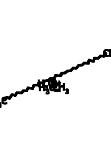 CCCCCCCCCCCCCCCCC=CCC(C=CCCCCCCCCCCCCCCCC)C[N+](C)(C)C.[Cl-]